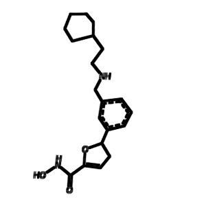 O=C(NO)C1=CCC(c2cccc(CNCCC3CCCCC3)c2)O1